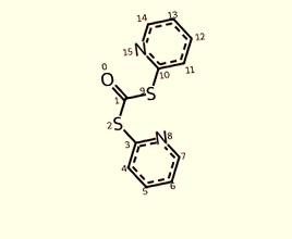 O=C(Sc1ccccn1)Sc1ccccn1